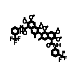 COc1cc2c(OC)c(-c3c(C)cc4c(C(=O)Nc5cccc(C(F)(F)F)c5)c(OC)c(OC)cc4c3OC)c(C)cc2c(C(=O)Nc2cccc(C(F)(F)F)c2)c1OC